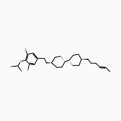 C/C=C/CCC[C@H]1CC[C@H]([C@H]2CC[C@H](CCc3cc(F)c(OC(F)F)c(F)c3)CC2)CC1